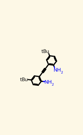 CC(C)(C)c1ccc(N)c(C#Cc2cc(C(C)(C)C)ccc2N)c1